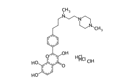 CN(CCCc1ccc(-c2oc3c(O)c(O)ccc3c(=O)c2O)cc1)CCN1CCN(C)CC1.Cl.Cl.Cl